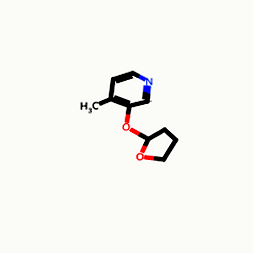 Cc1ccn[c]c1OC1CCCO1